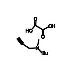 C#CCN(C)C(C)CC.O=C(O)C(=O)O